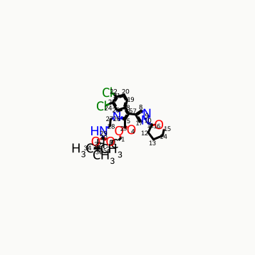 CCOC(=O)c1c(-c2cnn(C3CCCCO3)c2)c2ccc(Cl)c(Cl)c2n1CCNC(=O)OC(C)(C)C